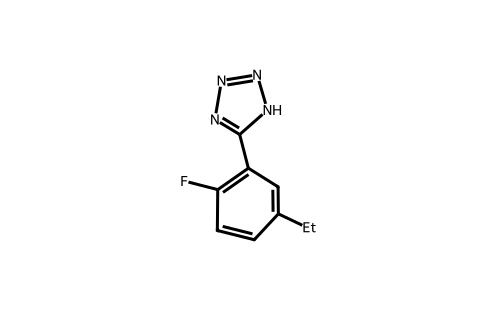 CCc1ccc(F)c(-c2nnn[nH]2)c1